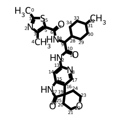 Cc1nc(C)c(C(=O)NC(C(=O)Nc2cc3c(cn2)C2(CCOCC2)C(=O)N3)C2CCC(C)CC2)s1